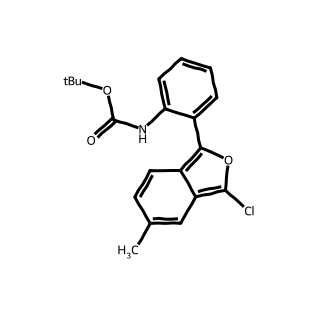 Cc1ccc2c(-c3ccccc3NC(=O)OC(C)(C)C)oc(Cl)c2c1